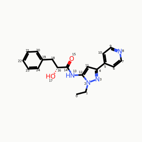 CCn1nc(-c2ccncc2)cc1NC(=O)[C@H](O)Cc1ccccc1